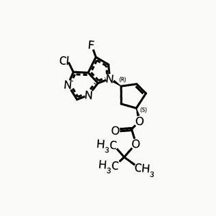 CC(C)(C)OC(=O)O[C@@H]1C=C[C@H](n2cc(F)c3c(Cl)ncnc32)C1